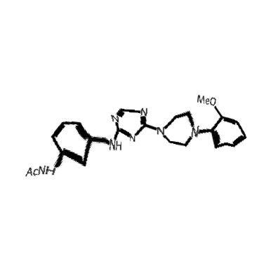 COc1ccccc1N1CCN(c2ncnc(Nc3cccc(NC(C)=O)c3)n2)CC1